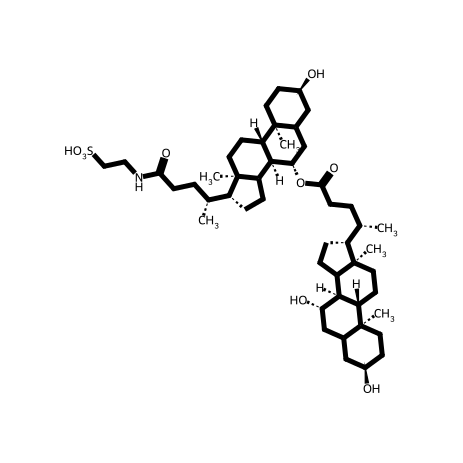 C[C@H](CCC(=O)NCCS(=O)(=O)O)[C@H]1CCC2[C@@H]3[C@@H](OC(=O)CC[C@H](C)[C@H]4CCC5[C@@H]6[C@@H](O)CC7C[C@H](O)CC[C@]7(C)[C@H]6CC[C@@]54C)CC4C[C@H](O)CC[C@]4(C)[C@H]3CC[C@@]21C